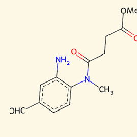 COC(=O)CCC(=O)N(C)c1ccc(C=O)cc1N